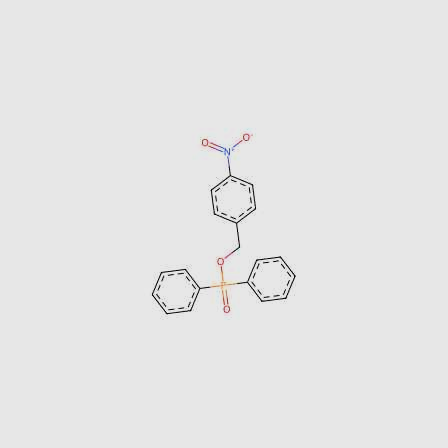 O=[N+]([O-])c1ccc(COP(=O)(c2ccccc2)c2ccccc2)cc1